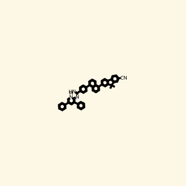 CC1(C)c2cc(C#N)ccc2-c2ccc(-c3cccc4c(-c5ccc(C(=N)/N=c6\[nH]cc(-c7ccccc7)cc6-c6ccccc6)cc5)cccc34)cc21